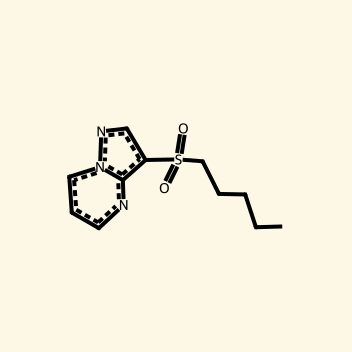 CCCCCS(=O)(=O)c1cnn2cccnc12